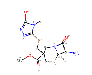 Cn1c(O)nnc1SCC1(C(=O)OC(C)(C)C)CS[C@@H]2C(N)C(=O)N2C1